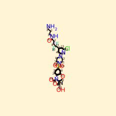 NCCCNC(=O)/C=C/C(F)(F)c1cc(Cl)nc(N2CCN(S(=O)(=O)c3ccc4c(c3)OC[C@@H]3[C@H](CO)OC(=O)N43)CC2)c1